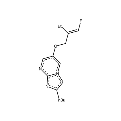 CCCCc1cn2cc(OC/C(=C/F)CC)cnc2n1